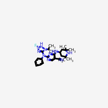 CC(C)N1NN(F)N=C1N(c1ccccc1)c1ncc(C#N)c(NC2CC(C)(C)NC(C)(C)C2)n1